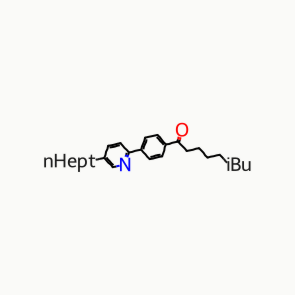 CCCCCCCc1ccc(-c2ccc(C(=O)CCCCC(C)CC)cc2)nc1